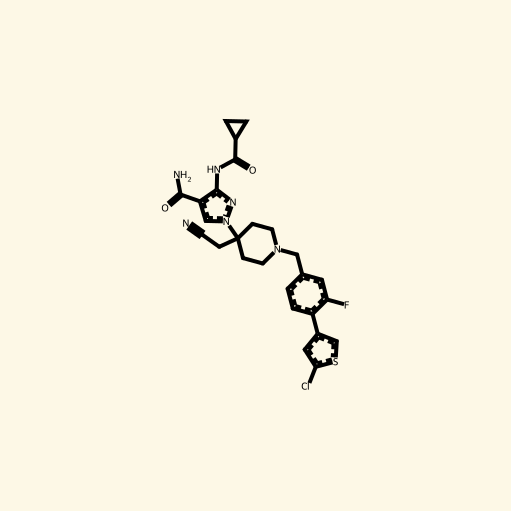 N#CCC1(n2cc(C(N)=O)c(NC(=O)C3CC3)n2)CCN(Cc2ccc(-c3csc(Cl)c3)c(F)c2)CC1